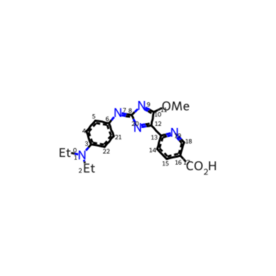 CCN(CC)c1ccc(N=C2N=C(OC)C(c3ccc(C(=O)O)cn3)=N2)cc1